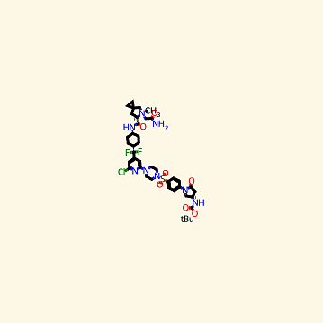 CC(C)(C)OC(=O)N[C@@H]1CC(=O)N(c2ccc(S(=O)(=O)N3CCN(c4cc(C(F)(F)[C@H]5CC[C@H](NC(=O)[C@@H]6CC7(CC7)C[N+]6(C)CC(N)=O)CC5)cc(Cl)n4)CC3)cc2)C1